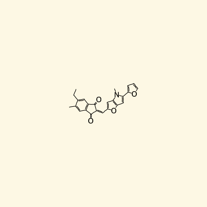 CCc1cc2c(cc1C)C(=O)/C(=C/c1cc3c(cc(-c4ccco4)n3C)o1)C2=O